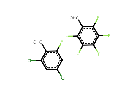 O=Cc1c(F)c(F)c(F)c(F)c1F.O=Cc1c(F)cc(Cl)cc1Cl